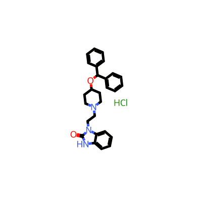 Cl.O=c1[nH]c2ccccc2n1CCN1CCC(OC(c2ccccc2)c2ccccc2)CC1